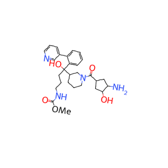 COC(=O)NCCCC(O)(c1ccccc1-c1cccnc1)C1CCCN(C(=O)C2CC(N)C(O)C2)C1